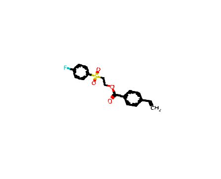 C=Cc1ccc(C(=O)OCCS(=O)(=O)c2ccc(F)cc2)cc1